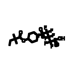 CCC(C)(C)C(=O)OC1CCN(S(=O)(=O)C(F)(F)C(F)(F)C(F)(F)S(=O)(=O)O)CC1